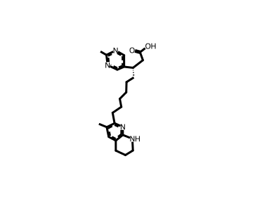 Cc1ncc([C@@H](CCCCCCc2nc3c(cc2C)CCCN3)CC(=O)O)cn1